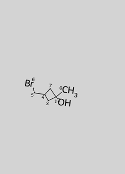 CC1(O)CC(CBr)C1